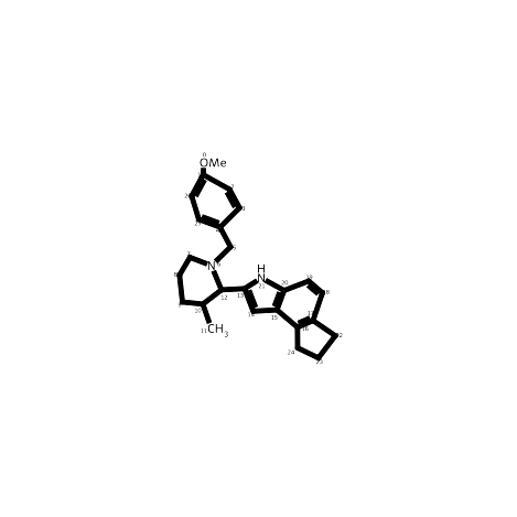 COc1ccc(CN2CCCC(C)C2c2cc3c4c(ccc3[nH]2)CCC4)cc1